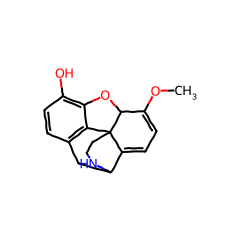 COC1=CC=C2C3Cc4ccc(O)c5c4C2(CCN3)C1O5